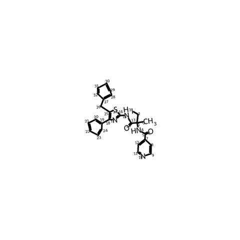 CC(CI)(NC(=O)c1ccncc1)C(=O)Nc1nc(-c2ccccc2)c(Cc2ccccc2)s1